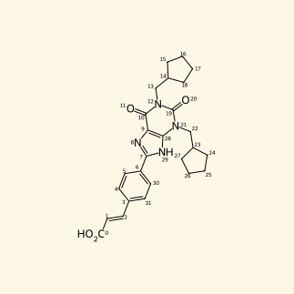 O=C(O)C=Cc1ccc(-c2nc3c(=O)n(CC4CCCC4)c(=O)n(CC4CCCC4)c3[nH]2)cc1